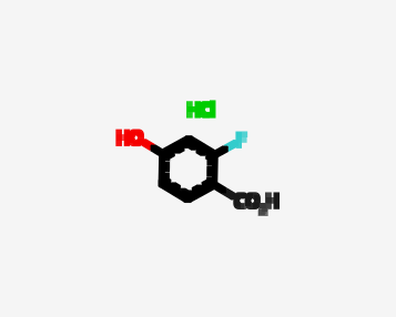 Cl.O=C(O)c1ccc(O)cc1F